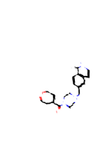 CC(C)(C)C1NCCc2cc(CN3CCN(C(=O)C4CCOCC4)CC3)ccc21